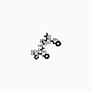 CCC(C)[C@H](NC(=O)[C@H](N)Cc1ccccc1)C(=O)N[C@H](C)C(=O)N[C@@H](C)C(=O)N[C@H](Cc1ccccc1)C(=O)N1CCC[C@H]1C(=O)O